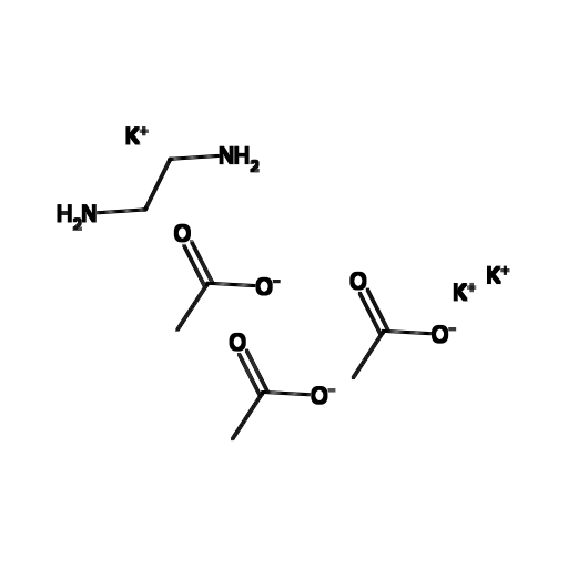 CC(=O)[O-].CC(=O)[O-].CC(=O)[O-].NCCN.[K+].[K+].[K+]